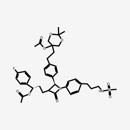 CC(=O)O[C@@H](CCC1C(=O)N(c2ccc(CCCNS(C)(=O)=O)cc2)[C@@H]1c1ccc(CCC2(OC(C)=O)COC(C)(C)OC2)cc1)c1ccc(F)cc1